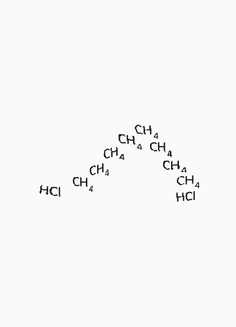 C.C.C.C.C.C.C.C.Cl.Cl